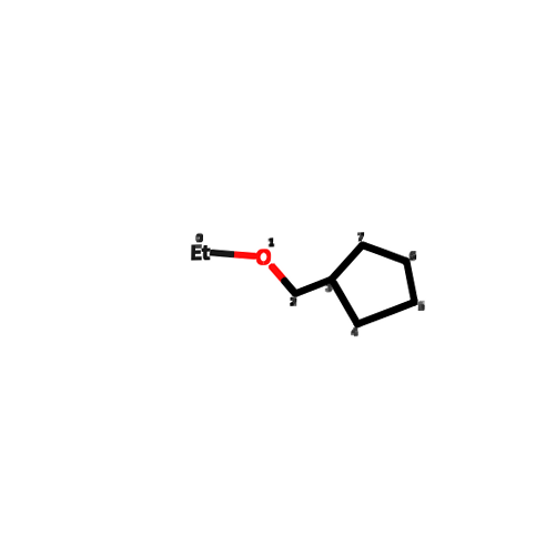 CCOCC1CCCC1